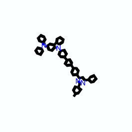 Cc1ccc(-c2nc(-c3ccccc3)cc(-c3ccc(-c4ccc(-c5ccc(-n6c7ccccc7c7cc(N(c8ccccc8)c8ccccc8)ccc76)cc5)cc4)cc3)n2)cc1